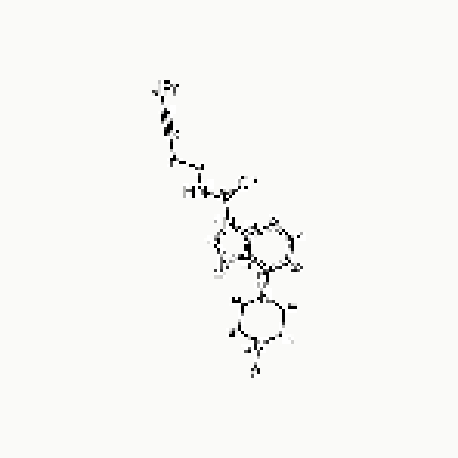 CC(C)C#CCCNC(=O)n1cnc2c(N3CCN(C)CC3)cccc21